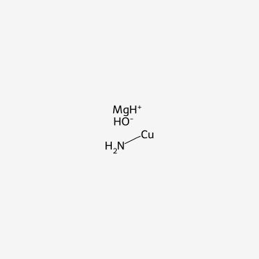 [MgH+].[NH2][Cu].[OH-]